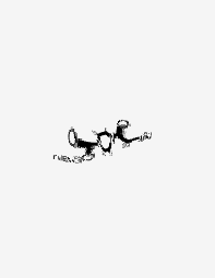 CCCCOC(=O)N1CCN(C(=O)[CH]C(C)(C)C)CC1